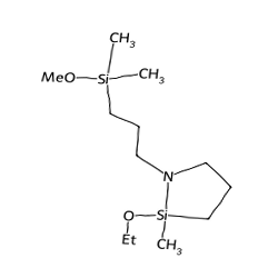 CCO[Si]1(C)CCCN1CCC[Si](C)(C)OC